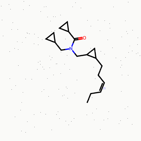 CC/C=C\CCC1CC1CN(CC1CC1)C(=O)C1CC1